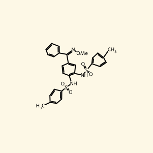 CON=C(c1ccccc1)c1ccc(NS(=O)(=O)c2ccc(C)cc2)c(NS(=O)(=O)c2ccc(C)cc2)c1